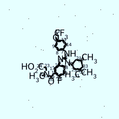 C[C@@H]1C[C@H](n2c(Nc3ccc(OC(F)(F)F)cc3)nc3cc(C(=O)N(C)CC(=O)O)c(F)cc32)CC(C)(C)C1